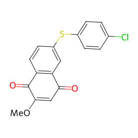 COC1=CC(=O)c2cc(Sc3ccc(Cl)cc3)ccc2C1=O